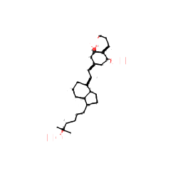 C[C@H](CCCC(C)(C)O)C1CCC2/C(=C/C=C3\C[C@@H](O)C4=CCCO[C@@H]4C3)CCC[C@@]21C